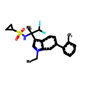 B[C@](NS(=O)(=O)C1CC1)(c1cn(CC(C)(C)C)c2cc(-c3ccccc3C(F)(F)F)ccc12)C(F)F